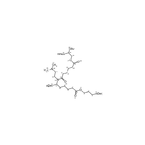 CCCCCCCCCCCCCOC(=O)CCCCC(CCCCCCCCCC)N(CCN(C)C)C(=O)CCCCC(=O)OCC(CCCC)CCCCCC